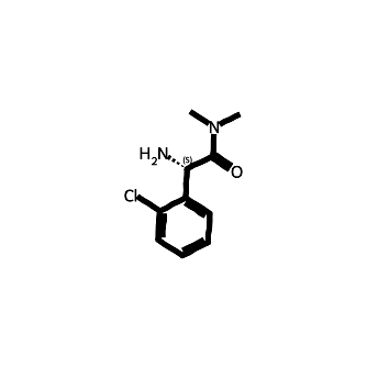 CN(C)C(=O)[C@@H](N)c1ccccc1Cl